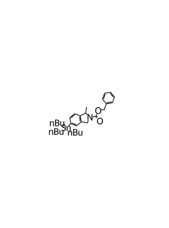 CCC[CH2][Sn]([CH2]CCC)([CH2]CCC)[c]1ccc2c(c1)CN(C(=O)OCc1ccccc1)C2C